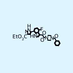 CCOC(=O)c1cc(-c2ccc(F)c3c(C(=O)C(=O)N4CCN(C(=O)c5ccccc5)CC4)c[nH]c23)[nH]n1